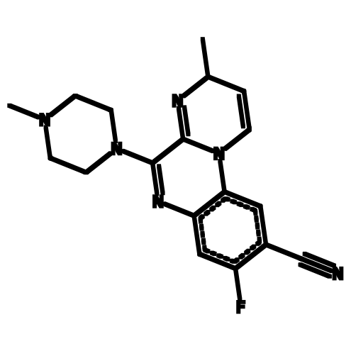 CC1C=CN2C(=N1)C(N1CCN(C)CC1)=Nc1cc(F)c(C#N)cc12